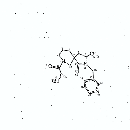 CC1CC2(CCCN(C(=O)OC(C)(C)C)C2)C(=O)N1Cc1cccnc1